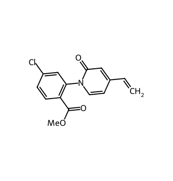 C=Cc1ccn(-c2cc(Cl)ccc2C(=O)OC)c(=O)c1